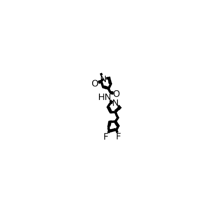 Cn1ccc(C(=O)Nc2ccc(Cc3ccc(F)c(F)c3)cn2)cc1=O